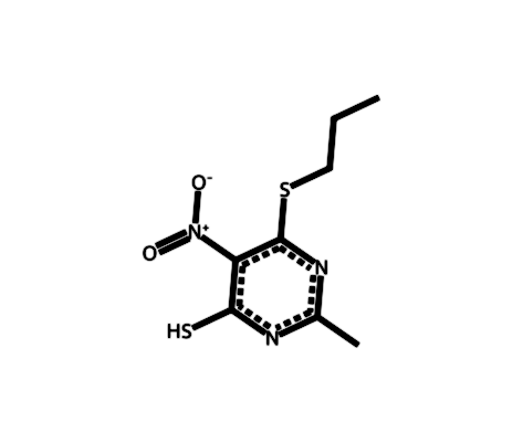 CCCSc1nc(C)nc(S)c1[N+](=O)[O-]